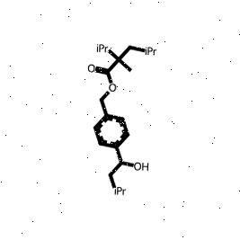 CC(C)CC(O)c1ccc(COC(=O)C(C)(CC(C)C)C(C)C)cc1